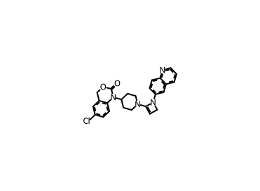 O=C1OCc2cc(Cl)ccc2N1C1CCN(C2=CCN2c2ccc3ncccc3c2)CC1